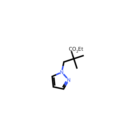 CCOC(=O)C(C)(C)Cn1cccn1